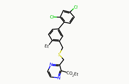 CCOC(=O)c1nccnc1CSCc1cc(-c2ccc(Cl)cc2Cl)ccc1CC